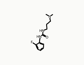 CN(C)CCCNC(=O)Nc1ccccc1F